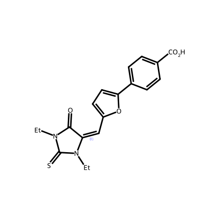 CCN1C(=O)/C(=C\c2ccc(-c3ccc(C(=O)O)cc3)o2)N(CC)C1=S